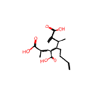 C=C(C(=O)O)C(C)C(CCCC)=C(C=C(C)C(=O)O)C(=O)O